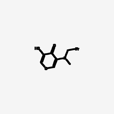 CC(C)CN(C)c1cocc(O)c1=O